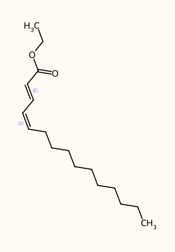 CCCCCCCCCC/C=C\C=C\C(=O)OCC